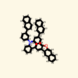 c1cc(-c2ccc3ccccc3c2)cc(N(c2cccc(-c3ccc4ccccc4c3)c2)c2ccccc2-c2ccc3oc4cc5ccccc5cc4c3c2)c1